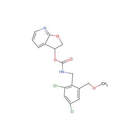 COCc1cc(Cl)cc(Cl)c1CNC(=O)OC1COc2ncccc21